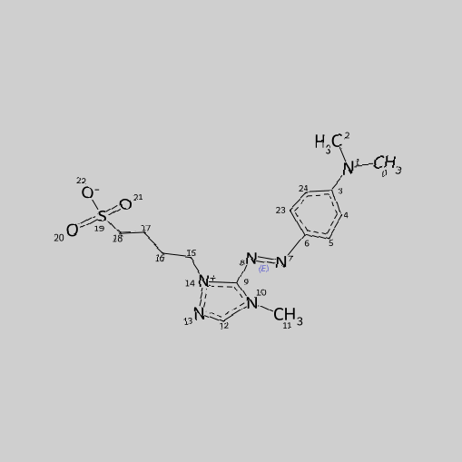 CN(C)c1ccc(/N=N/c2n(C)cn[n+]2CCCCS(=O)(=O)[O-])cc1